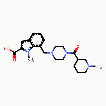 CN1CCCC(C(=O)N2CCN(Cc3cccc4cc(C(=O)O)n(C)c34)CC2)C1